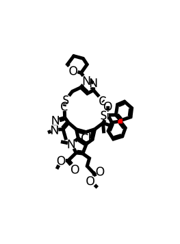 COC(=O)CCc1c(C(=O)OC)n(C)c2c3c(Cl)c(cc12)C(C)(C)[Si](c1ccccc1)(c1ccccc1)OCc1cc(n(C2CCCCO2)n1)CSCc1nn(C)c(C)c1-3